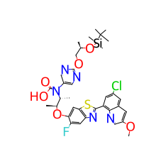 COc1cnc2c(-c3nc4cc(F)c(O[C@@H](C)[C@@H](C)N(C(=O)O)c5cnc(OC[C@@H](C)O[Si](C)(C)C(C)(C)C)nc5)cc4s3)cc(Cl)cc2c1